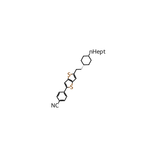 CCCCCCC[C@H]1CC[C@H](CCc2cc3sc(-c4ccc(C#N)cc4)cc3s2)CC1